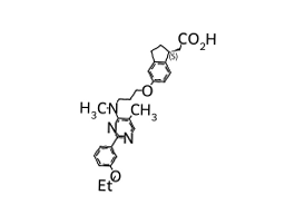 CCOc1cccc(-c2ncc(C)c(N(C)CCCOc3ccc4c(c3)CC[C@H]4CC(=O)O)n2)c1